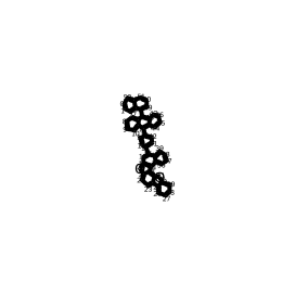 c1ccc2c(-c3c4ccccc4c(-c4ccc(-c5cc6oc7ccc8c9ccccc9oc8c7c6c6ccccc56)cc4)c4ccccc34)cccc2c1